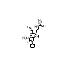 N=C(N)NCCC[C@H](NC(=O)CN(C(=O)CN)C1CCCCC1)C(=O)CO[C]=O